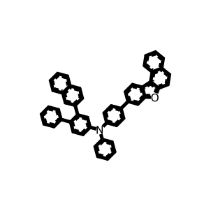 c1ccc(-c2ccc(N(c3ccccc3)c3ccc(-c4ccc5c(c4)oc4ccc6ccccc6c45)cc3)cc2-c2ccc3ccccc3c2)cc1